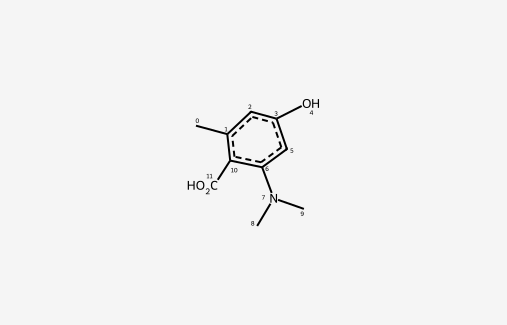 Cc1cc(O)cc(N(C)C)c1C(=O)O